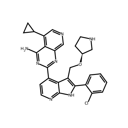 Nc1nc(-c2ccnc3[nH]c(-c4ccccc4Cl)c(CO[C@H]4CCNC4)c23)nc2cncc(C3CC3)c12